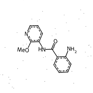 COc1ncccc1NC(=O)c1ccccc1N